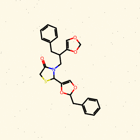 O=C1CSC(C2=COC(Cc3ccccc3)O2)N1CC(Cc1ccccc1)C1=COCO1